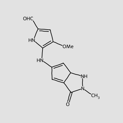 COc1cc(C=O)[nH]c1NC1=CC2NN(C)C(=O)C2=C1